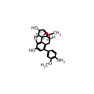 COc1cc(-c2cc(O)c3c4c2C[C@@H]2[C@@H]5C=C[C@H](O)[C@H](O3)[C@]45CCN2C)ccc1N